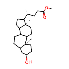 COC(=O)CC[C@@H](C)C1CCC2C3CCC4C[C@H](O)CC[C@]4(C)C3CC[C@@]21C